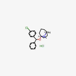 CN1[C@@H]2CCC[C@@]1(OC(c1ccccc1)c1ccc(Cl)cc1)CC2.Cl